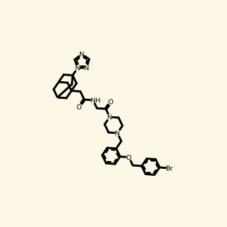 O=C(CC12CC3CC(C1)CC(n1cncn1)(C3)C2)NCC(=O)N1CCN(Cc2ccccc2OCc2ccc(Br)cc2)CC1